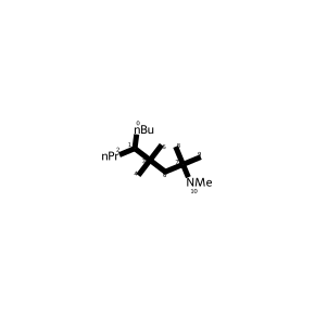 CCCCC(CCC)C(C)(C)CC(C)(C)NC